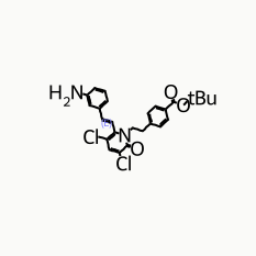 CC(C)(C)OC(=O)c1ccc(CCn2c(/C=C/c3cccc(N)c3)c(Cl)cc(Cl)c2=O)cc1